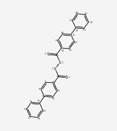 S=C(SSC(=S)c1ccc(-c2ccccc2)cc1)c1ccc(-c2ccccc2)cc1